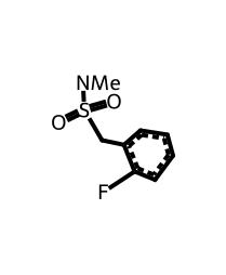 CNS(=O)(=O)Cc1ccccc1F